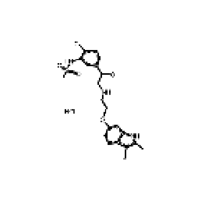 Cc1[nH]c2cc(OCCNCC(O)c3ccc(Cl)c(NS(C)(=O)=O)c3)ccc2c1C.Cl